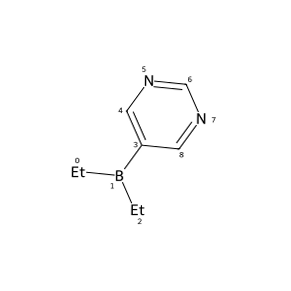 CCB(CC)c1cncnc1